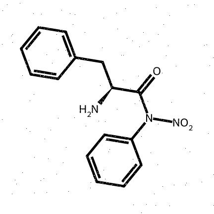 N[C@@H](Cc1ccccc1)C(=O)N(c1ccccc1)[N+](=O)[O-]